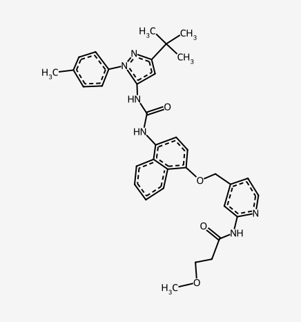 COCCC(=O)Nc1cc(COc2ccc(NC(=O)Nc3cc(C(C)(C)C)nn3-c3ccc(C)cc3)c3ccccc23)ccn1